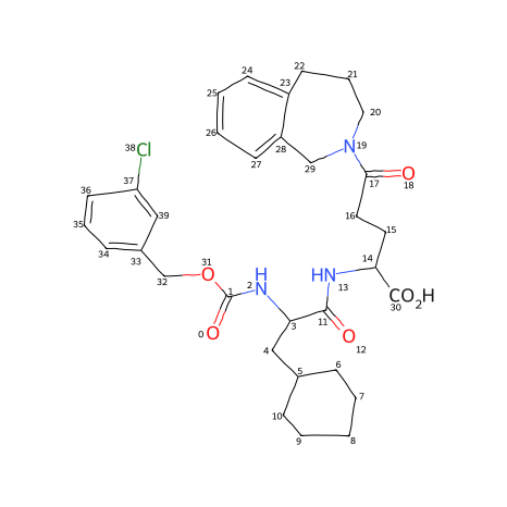 O=C(NC(CC1CCCCC1)C(=O)NC(CCC(=O)N1CCCc2ccccc2C1)C(=O)O)OCc1cccc(Cl)c1